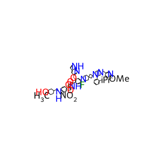 COc1ccc(CN2CCN(C3CC4(CCN(c5cc(Oc6cnc7[nH]ccc7c6)c(C(=O)NS(=O)(=O)c6ccc(NCC7CCC(C)(O)CC7)c([N+](=O)[O-])c6)cc5F)CC4)C3)[C@H](c3ccccc3C(C)C)C2)cn1